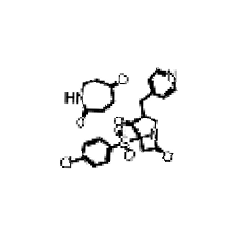 O=C1CC2(S(=O)(=O)c3ccc(Cl)cc3)C(=O)C(Cc3ccncc3)CN12.O=C1CCNC(=O)CC1